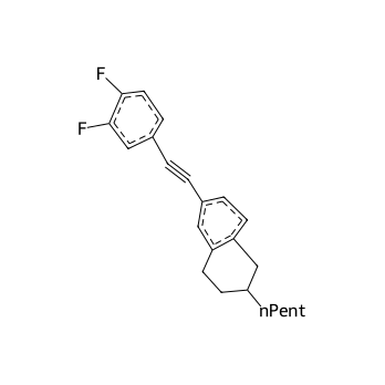 CCCCCC1CCc2cc(C#Cc3ccc(F)c(F)c3)ccc2C1